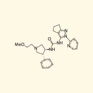 COCCN1C[C@@H](NC(=O)Nc2c3c(nn2-c2ccccn2)CCC3)[C@H](c2ccccc2)C1